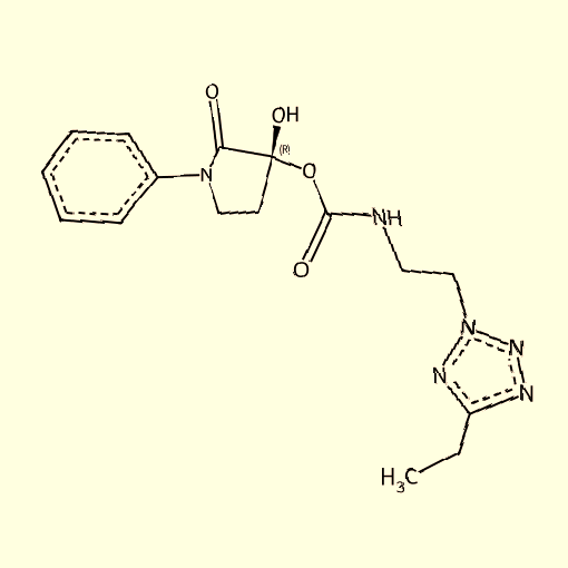 CCc1nnn(CCNC(=O)O[C@]2(O)CCN(c3ccccc3)C2=O)n1